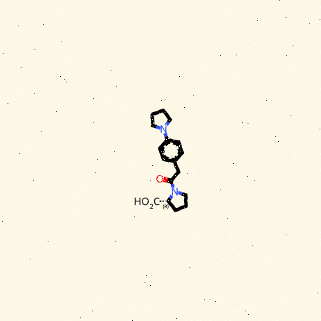 O=C(O)[C@H]1CCCN1C(=O)Cc1ccc(N2CCCC2)cc1